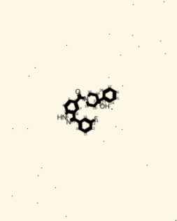 O=C(c1ccc2[nH]nc(-c3cccc(F)c3)c2c1)N1CCC(O)(c2ccccc2)CC1